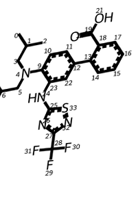 CC(C)CN(CC(C)C)c1ccc(-c2ccccc2C(=O)O)cc1Nc1nc(C(F)(F)F)ns1